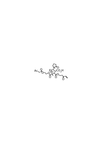 C=CC(=O)CCOC(=O)C(C(C(=O)O)C(CC)N1CCCC1=O)C(C)(CC)C(=O)OCCOC(=O)CC(C)=O